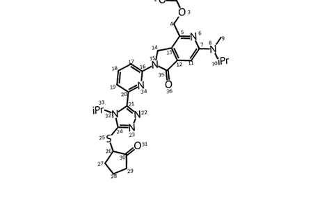 CNC(=O)OCc1nc(N(C)C(C)C)cc2c1CN(c1cccc(-c3nnc(SC4CCCC4=O)n3C(C)C)n1)C2=O